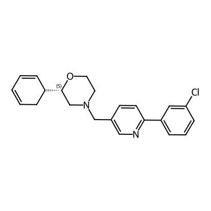 Clc1cccc(-c2ccc(CN3CCO[C@@H](C4C=CC=CC4)C3)cn2)c1